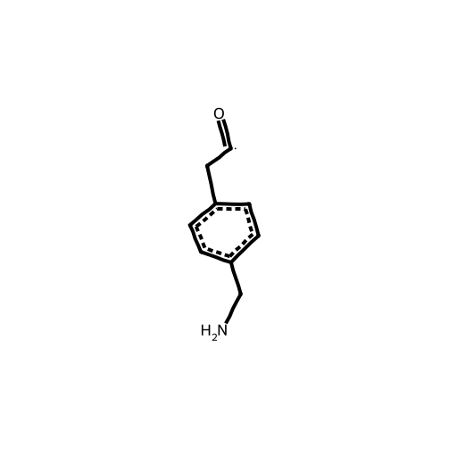 NCc1ccc(C[C]=O)cc1